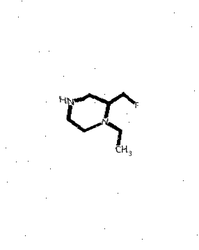 CCN1CCNCC1CF